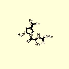 COC(=O)N[C@H](C(=O)N1CC(=C(F)F)C[C@H]1C)C(C)C